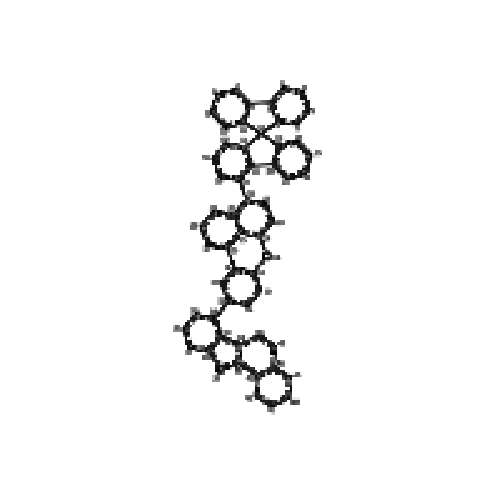 c1ccc2c(c1)-c1ccccc1C21c2ccccc2-c2c(-c3ccc4c5c(cccc35)-c3cc(-c5cccc6oc7c8ccccc8ccc7c56)ccc3O4)cccc21